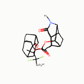 CC(=O)N1C(=O)C2C3CC(C(OC(=O)C45CC6CC(C4)C(=O)C(C6)C5)C31)C2C(=O)OC(C)C(F)(F)S(=O)(=O)O